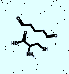 NC(CS)C(=O)O.O=CCCCC=O